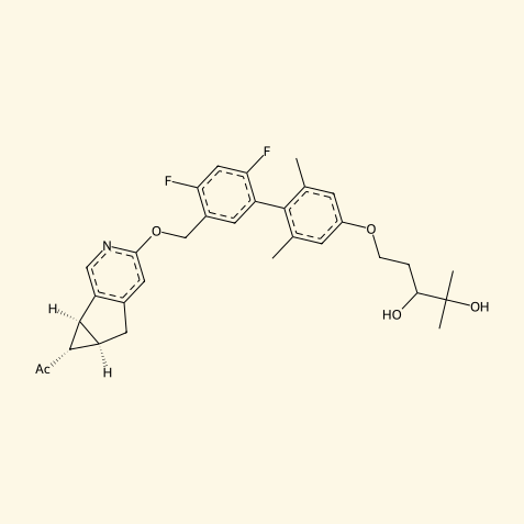 CC(=O)[C@H]1[C@@H]2Cc3cc(OCc4cc(-c5c(C)cc(OCCC(O)C(C)(C)O)cc5C)c(F)cc4F)ncc3[C@@H]21